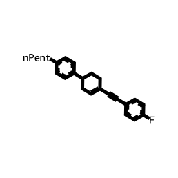 CCCCCc1ccc(C2CC=C(C#Cc3ccc(F)cc3)CC2)cc1